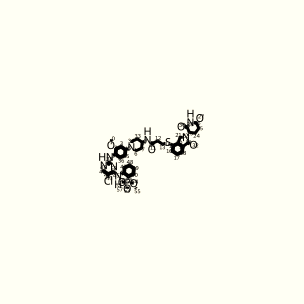 COc1cc(N2CCC(NC(=O)CCSc3cccc4c3CN(C3CCC(=O)NC3=O)C4=O)CC2)ccc1Nc1ncc(Cl)c(Nc2ccccc2P(=O)(OC)OC)n1